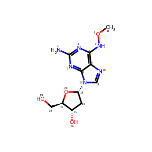 CONc1nc(N)nc2c1ncn2[C@@H]1C[C@H](O)[C@@H](CO)O1